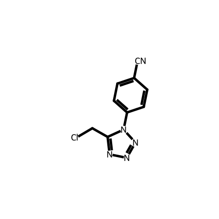 N#Cc1ccc(-n2nnnc2CCl)cc1